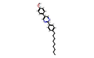 CCCCCCCCCc1ccc(-c2ncc(-c3ccc(OC)cc3)cn2)cc1